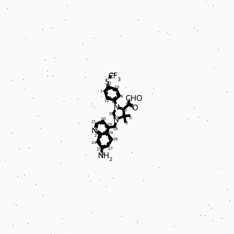 CC1(C)C(C(=O)C=O)N(c2ccc(SC(F)(F)F)cc2)CN1Cc1ccnc2cc(N)ccc12